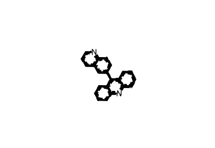 c1cnc2ccc(-c3c4ccccc4nc4ccccc34)cc2c1